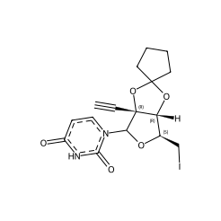 C#C[C@@]12OC3(CCCC3)O[C@@H]1[C@@H](CI)OC2n1ccc(=O)[nH]c1=O